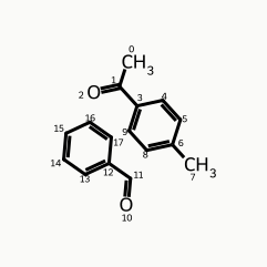 CC(=O)c1ccc(C)cc1.O=Cc1ccccc1